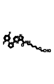 O=CCOCCCCCNC(=O)c1cnn2ccc(N3CCC[C@@H]3c3cc(F)ccc3F)nc12